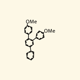 COc1ccc(-c2ccc(-c3ccccc3)cc2-c2ccc(OC)cc2)cc1